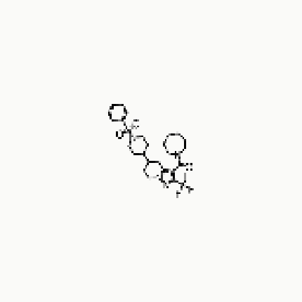 O=C(c1c(C(F)(F)F)nn2c1CC(C1CCN(S(=O)(=O)c3ccccc3)CC1)CC2)N1CCCCCC1